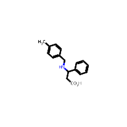 Cc1ccc(CNC(CC(=O)O)c2ccccc2)cc1